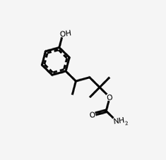 CC(CC(C)(C)OC(N)=O)c1cccc(O)c1